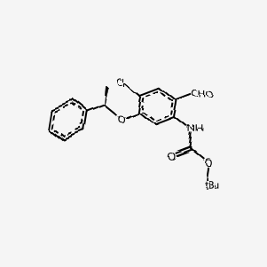 C[C@@H](Oc1cc(NC(=O)OC(C)(C)C)c(C=O)cc1Cl)c1ccccc1